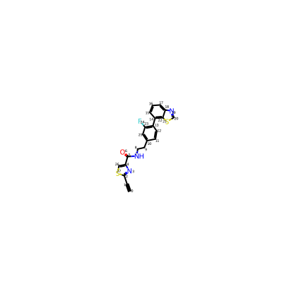 C#Cc1nc(C(=O)NCCc2ccc(-c3cccc4ncsc34)c(F)c2)cs1